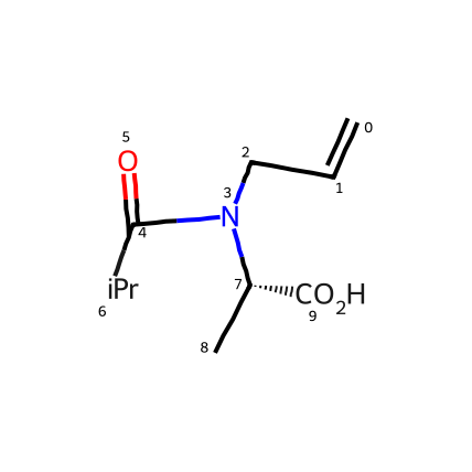 C=CCN(C(=O)C(C)C)[C@@H](C)C(=O)O